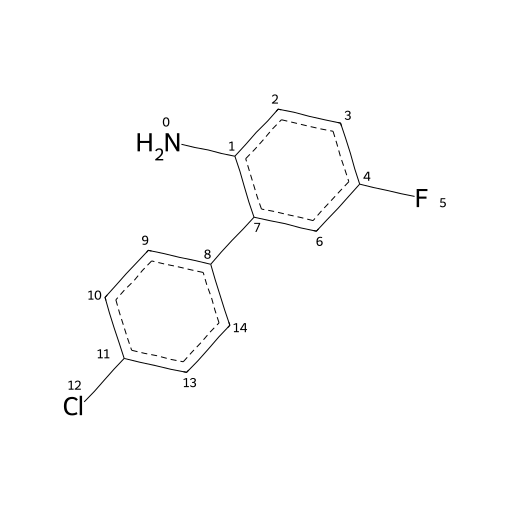 Nc1ccc(F)cc1-c1ccc(Cl)cc1